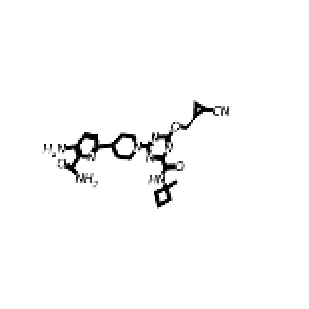 CC1(NC(=O)c2nc(OC[C@H]3CC3C#N)nc(N3CCC(c4ccc(N)c(C(N)=O)n4)CC3)n2)CCC1